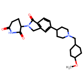 COC1CCC(CN2CCC(c3ccc4c(c3)CN(C3CCC(=O)NC3=O)C4=O)CC2)CC1